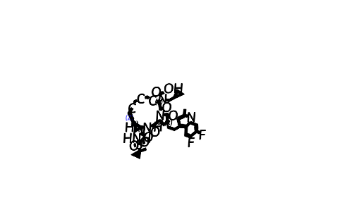 Cc1nc2cc(F)c(F)cc2c2c1O[C@]1(CC2)C[C@H]2C(=O)N[C@]3(C(=O)NS(=O)(=O)C4(C)CC4)C[C@H]3/C=C\CCCCC[C@H](N(CC3CC3)C(=O)O)C(=O)N2C1